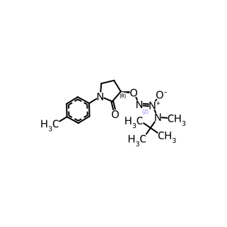 Cc1ccc(N2CC[C@@H](O/N=[N+](\[O-])N(C)C(C)(C)C)C2=O)cc1